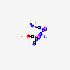 CNC(=O)C(C)(C)c1ccc(Nc2nc(-c3cnc(N)c(C)c3)cc3cc[nH]c(=O)c23)cc1.COc1cncc(-c2cc3cc[nH]c(=O)c3c(Nc3ccc(CCN4CCC(N(C)C)C4)cc3)n2)n1